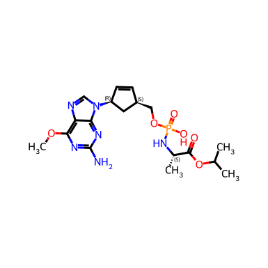 COc1nc(N)nc2c1ncn2[C@H]1C=C[C@@H](COP(=O)(O)N[C@@H](C)C(=O)OC(C)C)C1